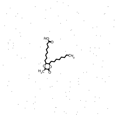 CCCCCCCCC1OC(=O)C(C)OC1CCCCCCCC(=O)O